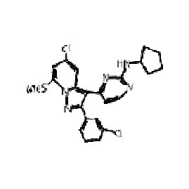 CSc1cc(Cl)cc2c(-c3ccnc(NC4CCCC4)n3)c(-c3cccc(Cl)c3)nn12